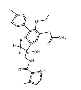 CCOc1c(CC(N)=O)cc([C@@](O)(CNC(=O)c2[nH]ccc2C)C(F)(F)F)nc1-c1ccc(F)cc1